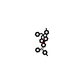 Cc1ccc(N(c2ccccc2)c2ccc(-c3ccc4c(c3)C(Cc3ccccc3)(Cc3ccccc3)c3cc(C)ccc3-4)cc2)cc1